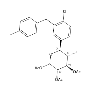 CC(=O)OC1O[C@@H](c2ccc(Cl)c(Cc3ccc(C)cc3)c2)[C@H](C)[C@@H](OC(C)=O)[C@@H]1OC(C)=O